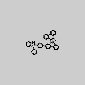 C1=CCC(n2c(-c3ccc(-c4ccc5c6ccccc6c6nc7c8ccccc8c8ccccc8c7n6c5c4)cc3)nc3ccccc32)CC1